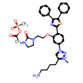 C[n+]1nn(-c2ccc(-c3nc(-c4ccccc4)c(-c4ccccc4)s3)c(OCCN3CCNC3=O)c2)cc1CCCCN.O=C(OS(=O)(=O)C(F)(F)F)C(F)(F)F